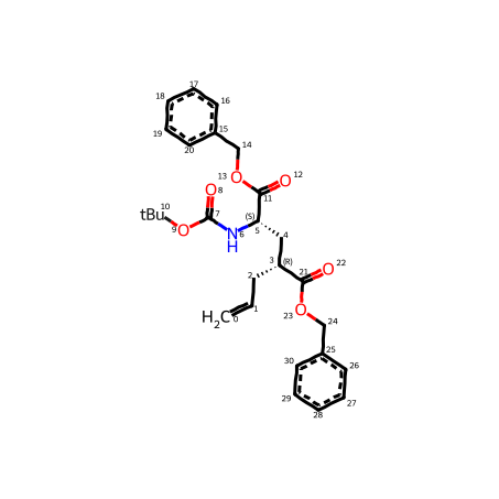 C=CC[C@H](C[C@H](NC(=O)OC(C)(C)C)C(=O)OCc1ccccc1)C(=O)OCc1ccccc1